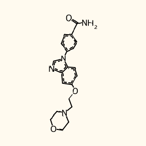 NC(=O)c1ccc(-n2cnc3cc(OCCN4CCOCC4)ccc32)cc1